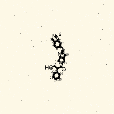 Cn1ncc2ccc(Sn3cc4c(n3)CN(C(=O)C(CO)c3ccccc3)C4)cc21